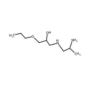 CCCOCC(O)CNCC(C)N